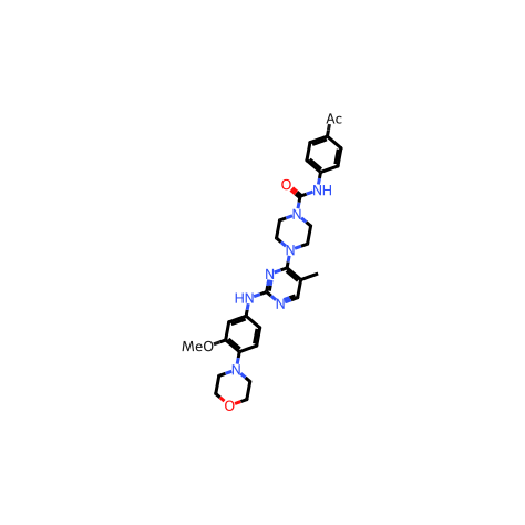 COc1cc(Nc2ncc(C)c(N3CCN(C(=O)Nc4ccc(C(C)=O)cc4)CC3)n2)ccc1N1CCOCC1